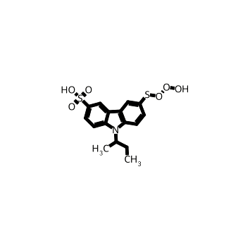 CCC(C)n1c2ccc(SOOO)cc2c2cc(S(=O)(=O)O)ccc21